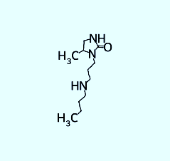 CCCCNCCCN1C(=O)NCC1C